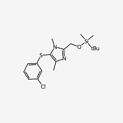 Cc1nc(CO[Si](C)(C)C(C)(C)C)n(C)c1Sc1cccc(Cl)c1